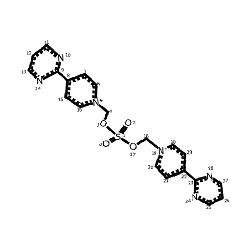 O=S(=O)(OC[n+]1ccc(-c2ncccn2)cc1)OC[n+]1ccc(-c2ncccn2)cc1